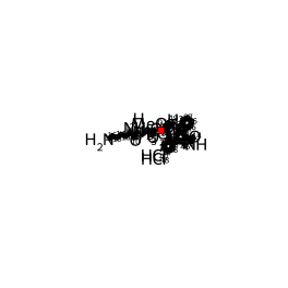 CO[C@]1(COC(=O)CCNC(=O)[C@@H](N)CCCCN)C[C@H]2O[C@]1(C)n1c3ccccc3c3c4c(c5c6ccccc6n2c5c31)C(=O)NC4.Cl.Cl